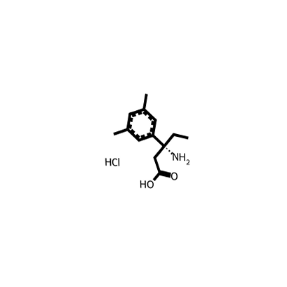 CC[C@@](N)(CC(=O)O)c1cc(C)cc(C)c1.Cl